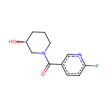 O=C(c1ccc(F)nc1)N1CCC[C@H](O)C1